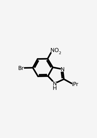 CC(C)c1nc2c([N+](=O)[O-])cc(Br)cc2[nH]1